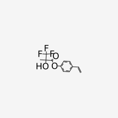 C=Cc1ccc(OC(=O)C(C)(O)C(F)(F)F)cc1